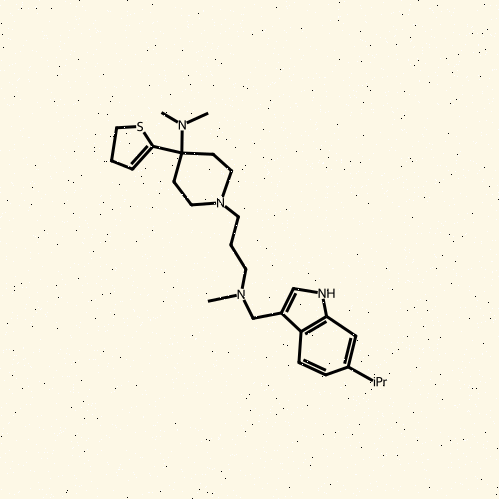 CC(C)c1ccc2c(CN(C)CCCN3CCC(C4=CCCS4)(N(C)C)CC3)c[nH]c2c1